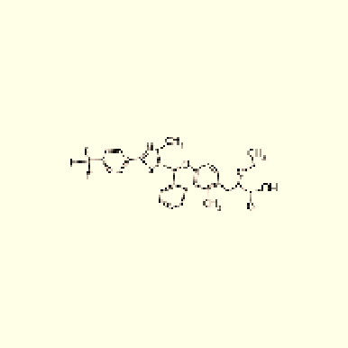 CCOC(Cc1ccc(OC(c2ccccc2)c2sc(-c3ccc(C(F)(F)F)cc3)nc2C)cc1C)C(=O)O